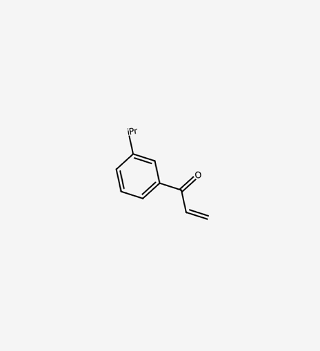 C=CC(=O)c1cccc(C(C)C)c1